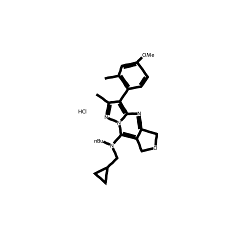 CCCCN(CC1CC1)c1c2c(nc3c(-c4ccc(OC)cc4C)c(C)nn13)COC2.Cl